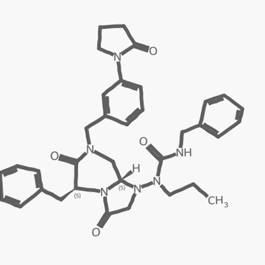 CCCN(C(=O)NCc1ccccc1)N1CC(=O)N2[C@@H](Cc3ccccc3)C(=O)N(Cc3cccc(N4CCCC4=O)c3)C[C@@H]21